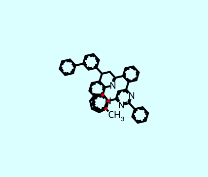 Cc1ccc2ccc3c(c2n1)N=C(c1ccccc1-c1cc(C2=CC=CC=CC2)nc(-c2ccccc2)n1)CC3c1cccc(-c2ccccc2)c1